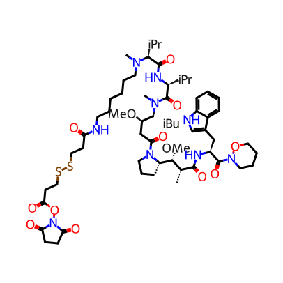 CC[C@H](C)[C@@H]([C@@H](CC(=O)N1CCC[C@H]1[C@H](OC)[C@@H](C)C(=O)N[C@@H](Cc1c[nH]c2ccccc12)C(=O)N1CCCCO1)OC)N(C)C(=O)[C@@H](NC(=O)[C@H](C(C)C)N(C)CCCCCCNC(=O)CCSSCCC(=O)ON1C(=O)CCC1=O)C(C)C